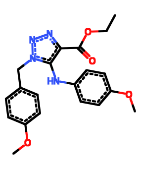 CCOC(=O)c1nnn(Cc2ccc(OC)cc2)c1Nc1ccc(OC)cc1